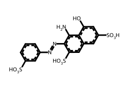 Nc1c(N=Nc2cccc(S(=O)(=O)O)c2)c(S(=O)(=O)O)cc2cc(S(=O)(=O)O)cc(O)c12